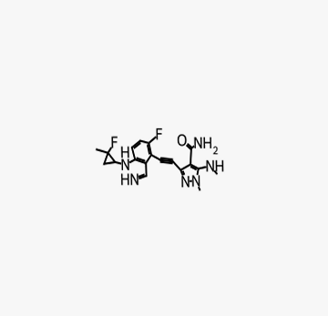 CNc1c(C(N)=O)c(C#Cc2c(F)ccc(NC3CC3(C)F)c2C=N)nn1C